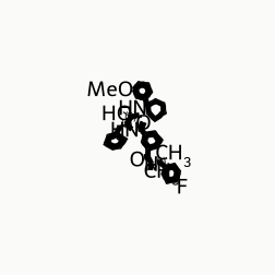 COc1cccc(C2(NC[C@@H](O)[C@H](Cc3ccccc3)NC(=O)c3cccc(C(=O)N(C)[C@H](C)c4ccc(F)cc4)c3)CCCCC2)c1